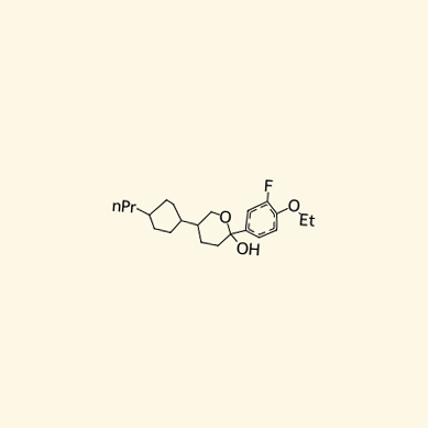 CCCC1CCC(C2CCC(O)(c3ccc(OCC)c(F)c3)OC2)CC1